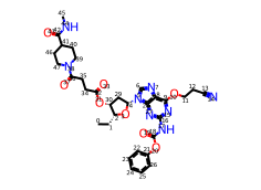 CC[C@H]1O[C@@H](n2cnc3c(OCCC#N)nc(NC(=O)Oc4ccccc4)nc32)C[C@H]1OC(=O)CCC(=O)N1CCC(C(=O)NC)CC1